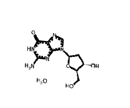 Nc1nc2c(ncn2C2C[C@H](O)[C@@H](CO)O2)c(=O)[nH]1.O